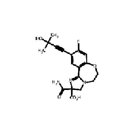 CC(C)(O)C#Cc1cc2c(cc1F)OCCN1CC(C(N)=O)(C(=O)O)N=C21